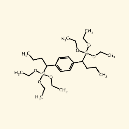 CCCC(c1ccc(C(CCC)[Si](OCC)(OCC)OCC)cc1)[Si](OCC)(OCC)OCC